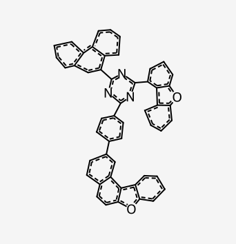 c1ccc2c(c1)cc(-c1nc(-c3ccc(-c4ccc5ccc6oc7ccccc7c6c5c4)cc3)nc(-c3cccc4oc5ccccc5c34)n1)c1ccccc12